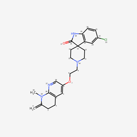 C=C1CCc2cc(OCCN3CCC4(CC3)C(=O)Nc3ccc(Cl)cc34)cnc2N1C